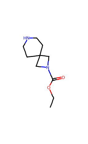 CCOC(=O)N1CC2(CCNCC2)C1